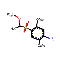 COc1cc(S(=O)(=O)C(C)OS(=O)(=O)O)c(OC)cc1N